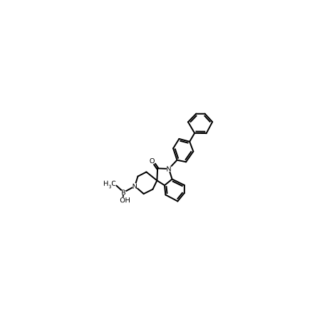 CB(O)N1CCC2(CC1)C(=O)N(c1ccc(-c3ccccc3)cc1)c1ccccc12